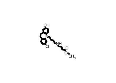 CCOC(=O)/C=C/CNCCCCN1c2ccc(O)cc2CCc2ccc(Cl)cc21